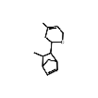 CC1=CCOC(C2C3C=CC(C3)C2C)C1